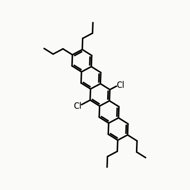 CCCc1cc2cc3c(Cl)c4cc5cc(CCC)c(CCC)cc5cc4c(Cl)c3cc2cc1CCC